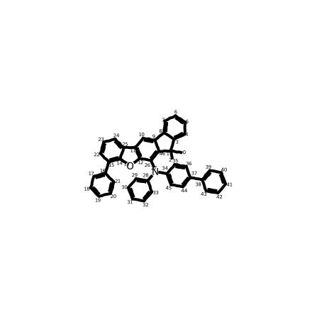 CC1(C)c2ccccc2-c2cc3c(oc4c(-c5ccccc5)cccc43)c(N(c3ccccc3)c3ccc(-c4ccccc4)cc3)c21